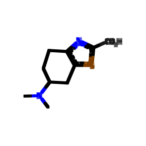 CN(C)C1CCc2nc(C(=O)O)sc2C1